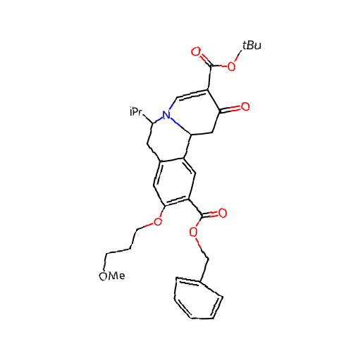 COCCCOc1cc2c(cc1C(=O)OCc1ccccc1)C1CC(=O)C(C(=O)OC(C)(C)C)=CN1C(C(C)C)C2